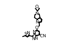 Cc1cc(-c2nnc3c(C#N)cc(OCc4ccc5c(n4)CCN(C4COC4)C5)nn23)ns1